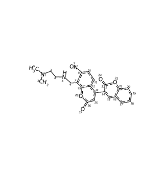 CN(C)CCNCc1c(N=O)ccc2c(-c3cc4ccccc4oc3=O)cc(=O)oc12